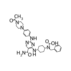 CC(=O)N1CCN(c2ccc(Nc3ncc(C(N)=O)c(NC4CCC(N(Cc5ccccc5)C(=O)O)CC4)n3)cc2)CC1